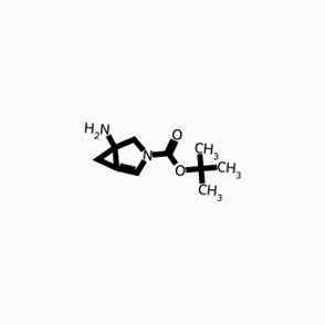 CC(C)(C)OC(=O)N1C=C2CC2(N)C1